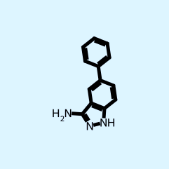 Nc1n[nH]c2ccc(-c3ccccc3)cc12